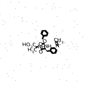 C=[N+]=[N-].C[C@H](NC(=O)[C@H](Cc1ccccc1)NC(=O)OCc1ccccc1)C(=O)O